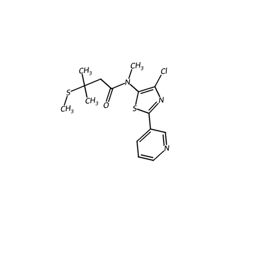 CSC(C)(C)CC(=O)N(C)c1sc(-c2cccnc2)nc1Cl